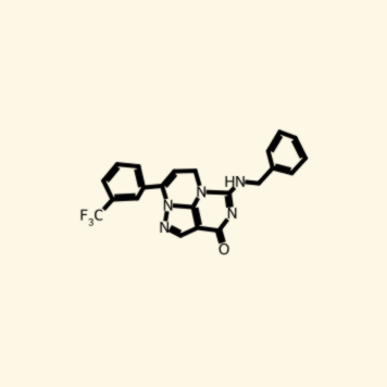 O=c1nc(NCc2ccccc2)n2c3c1cnn3C(c1cccc(C(F)(F)F)c1)=CC2